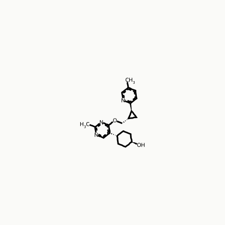 Cc1ccc([C@H]2C[C@@H]2COc2nc(C)ncc2[C@H]2CC[C@H](O)CC2)nc1